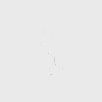 COCC(C)(COC)C(=O)OCCN1CC(=O)OC1=O